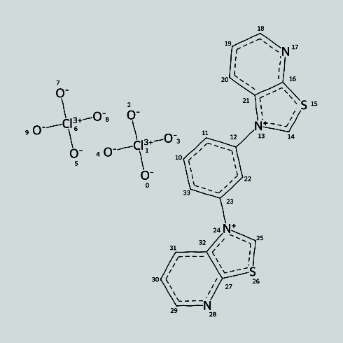 [O-][Cl+3]([O-])([O-])[O-].[O-][Cl+3]([O-])([O-])[O-].c1cc(-[n+]2csc3ncccc32)cc(-[n+]2csc3ncccc32)c1